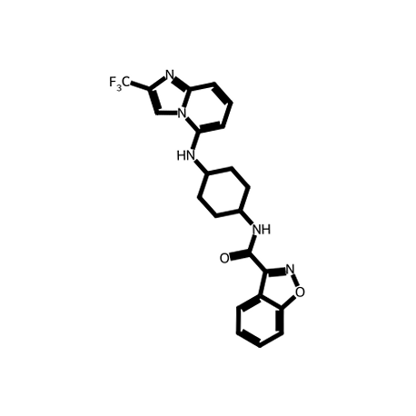 O=C(NC1CCC(Nc2cccc3nc(C(F)(F)F)cn23)CC1)c1noc2ccccc12